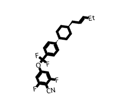 CCC=CC[C@H]1CC[C@H](c2ccc(C(F)(F)Oc3cc(F)c(C#N)c(F)c3)cc2)CC1